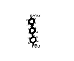 CCCCCCc1ccc(-c2ccc(C3=CCC(CCCC)CC3)cc2)cc1